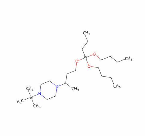 CCCCO[Si](CCC)(OCCCC)OCCC(C)N1CCN([Si](C)(C)C)CC1